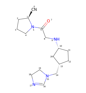 N#C[C@@H]1CCCN1C(=O)CN[C@@H]1CC[C@H](CN2C=NCC2)C1